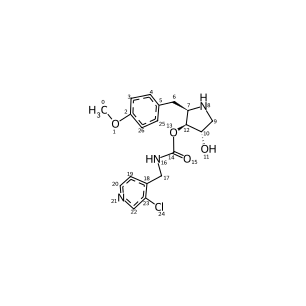 COc1ccc(C[C@H]2NC[C@H](O)[C@H]2OC(=O)NCc2ccncc2Cl)cc1